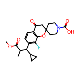 COC(=O)C(C)C(c1ccc2c(c1F)OC1(CCN(C(=O)O)CC1)CC2=O)C1CC1